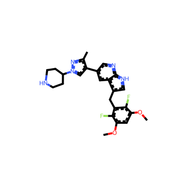 COc1cc(OC)c(F)c(Cc2c[nH]c3ncc(-c4cn(C5CCNCC5)nc4C)cc23)c1F